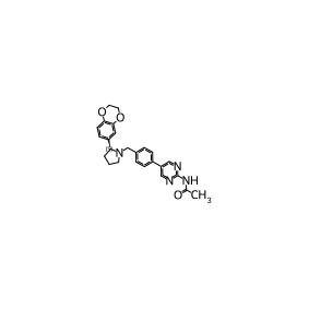 CC(=O)Nc1ncc(-c2ccc(CN3CCC[C@H]3c3ccc4c(c3)OCCO4)cc2)cn1